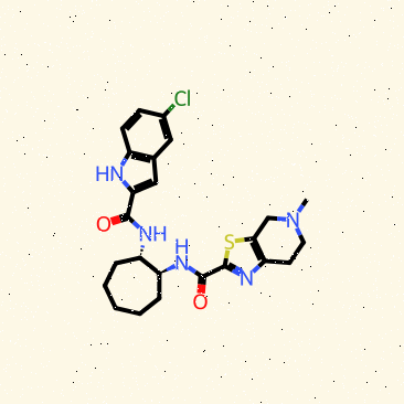 CN1CCc2nc(C(=O)N[C@H]3CCCCC[C@@H]3NC(=O)c3cc4cc(Cl)ccc4[nH]3)sc2C1